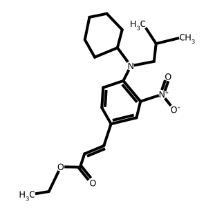 CCOC(=O)C=Cc1ccc(N(CC(C)C)C2CCCCC2)c([N+](=O)[O-])c1